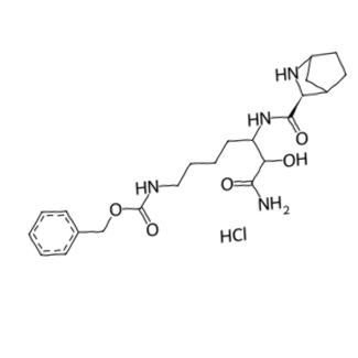 Cl.NC(=O)C(O)C(CCCCNC(=O)OCc1ccccc1)NC(=O)[C@H]1NC2CCC1C2